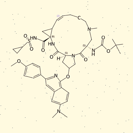 COc1ccc(-c2cc3cc(N(C)C)ccc3c(OC3C[C@H]4C(=O)N[C@]5(C(=O)NS(=O)(=O)C6CC6)CC5/C=C\CCCN(C)C[C@H](NC(=O)OC(C)(C)C)C(=O)N4C3)n2)cc1